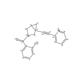 O=C(c1ccccc1Cl)N1CC2CC2(C#Cc2ccccn2)C1